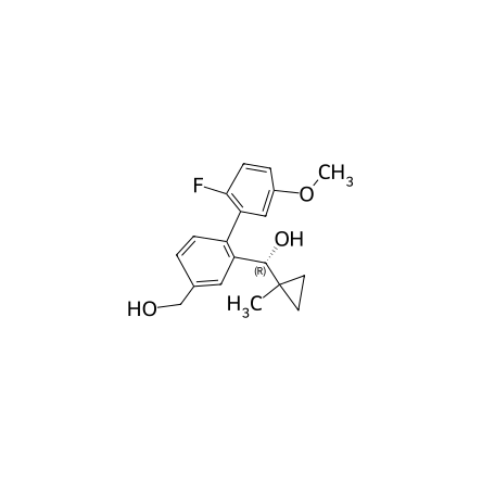 COc1ccc(F)c(-c2ccc(CO)cc2[C@H](O)C2(C)CC2)c1